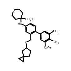 COc1cc(-c2ccc(NC3(C(=O)O)CCOCC3)cc2COC2CCC3(CC3)C2)cc(C)c1C